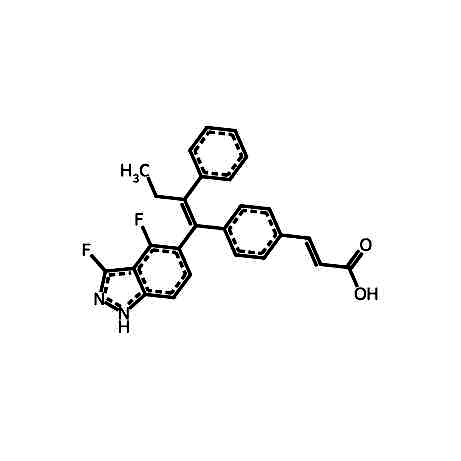 CCC(=C(c1ccc(C=CC(=O)O)cc1)c1ccc2[nH]nc(F)c2c1F)c1ccccc1